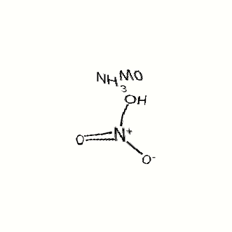 N.O=[N+]([O-])O.[Mo]